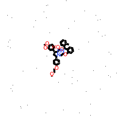 COCCOc1ccc(C2CC(c3ccc4c(c3)OCO4)C(C(=O)O)N2CC(=O)NC(c2ccccc2C)c2ccccc2C)cc1